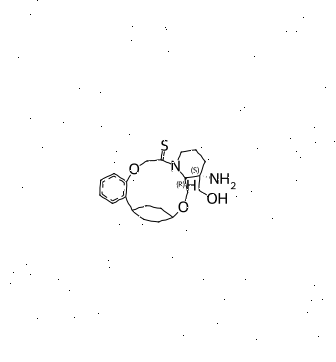 N[C@@]1(CO)CCCN2C(=S)COc3ccccc3C3CCC(CC3)OC[C@H]21